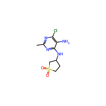 Cc1nc(Cl)c(N)c(NC2CCS(=O)(=O)C2)n1